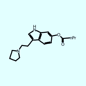 CCCC(=O)Oc1ccc2c(CCN3CCCC3)c[nH]c2c1